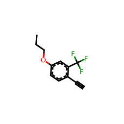 C#Cc1ccc(OCCC)cc1C(F)(F)F